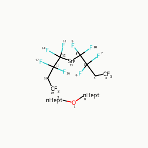 CCCCCCCOCCCCCCC.FC(F)(F)CC(F)(F)[C](F)(F)[Sn][C](F)(F)C(F)(F)CC(F)(F)F